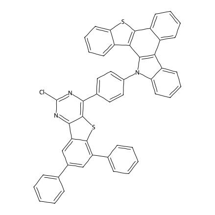 Clc1nc(-c2ccc(-n3c4ccccc4c4c5ccccc5c5sc6ccccc6c5c43)cc2)c2sc3c(-c4ccccc4)cc(-c4ccccc4)cc3c2n1